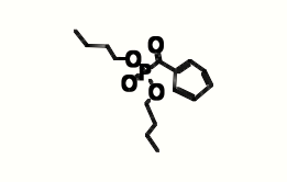 CCCCOP(=O)(OCCCC)C(=O)c1ccccc1